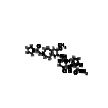 COc1cc2c(cc1Nc1ncc(Cl)c(N[C@H]3[C@@H](C(N)=O)[C@@H]4C=C[C@H]3C4)n1)CCN(CC(=O)N1CCCC1)CC2